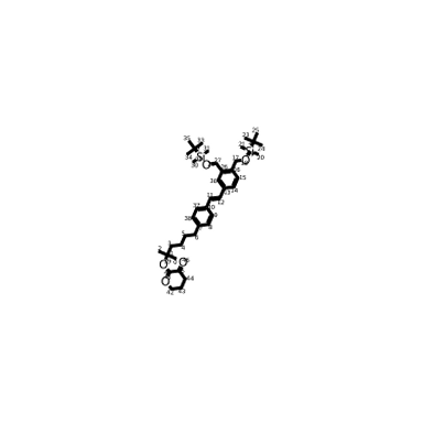 CC(C)(CCCCc1ccc(C=Cc2ccc(CO[Si](C)(C)C(C)(C)C)c(CO[Si](C)(C)C(C)(C)C)c2)cc1)OC1OCCCC1=O